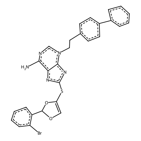 Nc1ncn(CCc2ccc(-c3ccccc3)cc2)c2nc(SC3=COC(c4ccccc4Br)O3)nc1-2